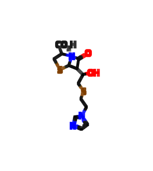 O=C(O)C1CSC2C([C@@H](O)CSCCn3ccnc3)C(=O)N12